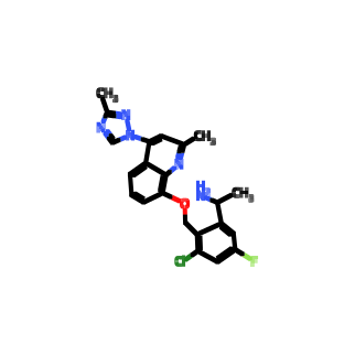 Cc1cc(-n2cnc(C)n2)c2cccc(OCc3c(Cl)cc(F)cc3C(C)N)c2n1